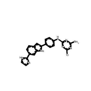 Nc1nc(Cl)nc(Nc2ccc(-c3cc4ccc(-c5ncc[nH]5)cc4[nH]3)cc2)n1